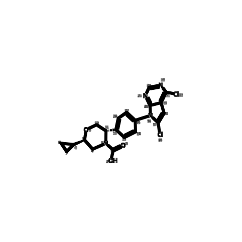 O=C(O)N1C[C@@H](C2CC2)OC[C@@H]1c1ccc(-n2c(Cl)cc3c(Cl)ncnc32)cc1